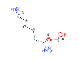 NCCCCCC(N)OCO